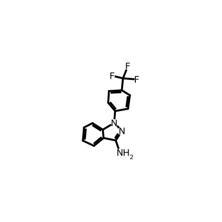 Nc1nn(-c2ccc(C(F)(F)F)cc2)c2ccccc12